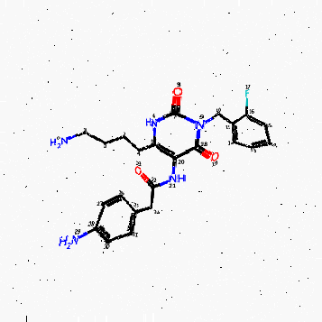 NCCCCc1[nH]c(=O)n(Cc2ccccc2F)c(=O)c1NC(=O)Cc1ccc(N)cc1